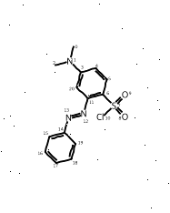 CN(C)c1ccc(S(=O)(=O)Cl)c(N=Nc2ccccc2)c1